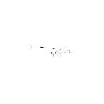 CC#CCOc1ccc(S(=O)(=O)C2(C(=O)O)CCCN(CC)C2)cc1